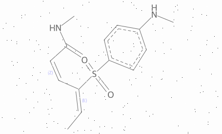 C=C(/C=C\C(=C/C)S(=O)(=O)c1ccc(NC)cc1)NC